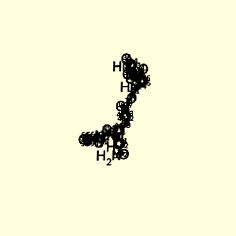 NC(=O)C1CCN(c2cc(CN3CCN(C(=O)CCOCCNc4cccc5c4C(=O)N(C4CCC(=O)NC4=O)C5=O)CC3)ccc2NC(=O)c2coc(N3CCOCC3)n2)CC1